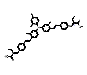 CC/C(=C\c1ccc(/C=C/c2ccc(N(c3ccc(/C=C/c4ccc(/C=C(\CC)C(=O)O)cc4)c(C)c3)c3ccc(C)cc3C)cc2C)cc1)C(=O)O